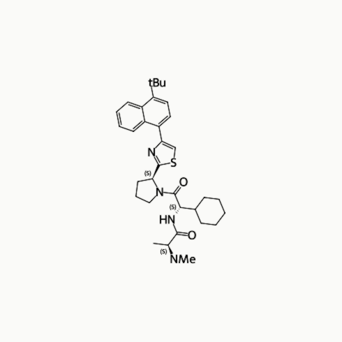 CN[C@@H](C)C(=O)N[C@H](C(=O)N1CCC[C@H]1c1nc(-c2ccc(C(C)(C)C)c3ccccc23)cs1)C1CCCCC1